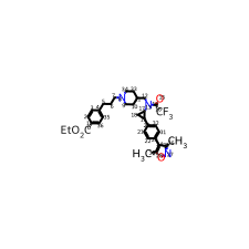 CCOC(=O)c1ccc(CCCN2CCC(CN(C(=O)C(F)(F)F)C3CC3c3ccc(-c4c(C)noc4C)cc3)CC2)cc1